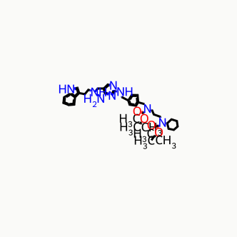 CC(C)(C)OC(=O)N(CCCN(C(=O)OC(C)(C)C)C1CCCCC1)Cc1ccc(CNc2ncc(CNCCc3c[nH]c4ccccc34)c(N)n2)cc1